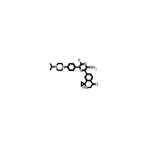 CC(C)N1CCN(c2ccc(-c3nc(-c4ccc5c(c4)C4(CC4)NCC5=O)c(N)nc3F)cc2)CC1